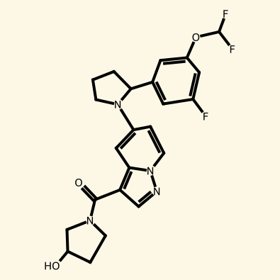 O=C(c1cnn2ccc(N3CCCC3c3cc(F)cc(OC(F)F)c3)cc12)N1CCC(O)C1